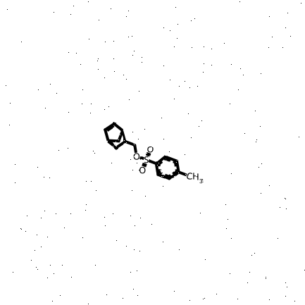 Cc1ccc(S(=O)(=O)OCC2CC3C=CC2C3)cc1